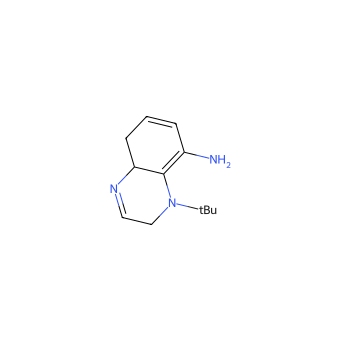 CC(C)(C)N1CC=NC2CC=CC(N)=C21